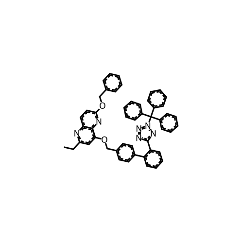 CCc1cc(OCc2ccc(-c3ccccc3-c3nnn(C(c4ccccc4)(c4ccccc4)c4ccccc4)n3)cc2)c2nc(OCc3ccccc3)ccc2n1